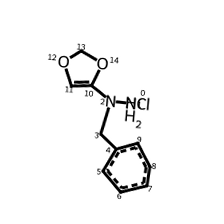 Cl.NN(Cc1ccccc1)C1=COCO1